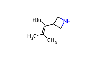 CC(C)=C(C1CNC1)C(C)(C)C